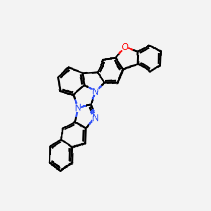 c1ccc2cc3c(cc2c1)nc1n3c2cccc3c4cc5oc6ccccc6c5cc4n1c32